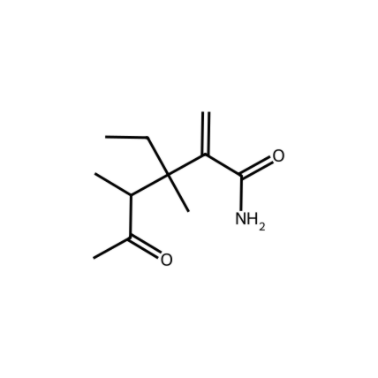 C=C(C(N)=O)C(C)(CC)C(C)C(C)=O